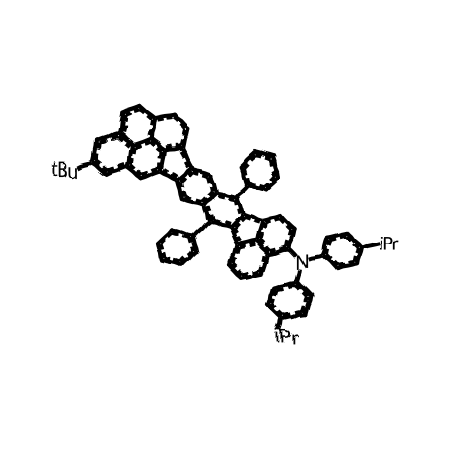 CC(C)c1ccc(N(c2ccc(C(C)C)cc2)c2ccc3c4c(-c5ccccc5)c5cc6c(cc5c(-c5ccccc5)c4c4cccc2c34)c2cc3cc(C(C)(C)C)cc4ccc5ccc6c2c5c43)cc1